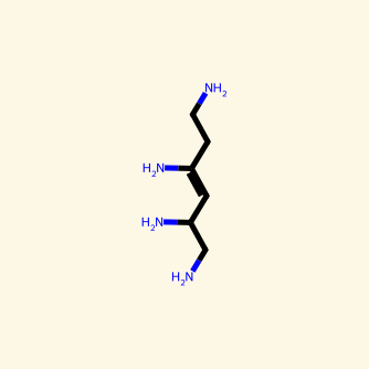 NCCC(N)=CC(N)CN